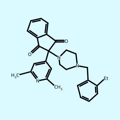 CCc1ccccc1CN1CCN(C2(c3cc(C)nc(C)c3)C(=O)c3ccccc3C2=O)CC1